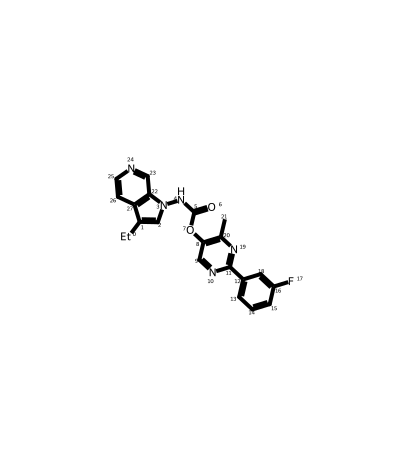 CCc1cn(NC(=O)Oc2cnc(-c3cccc(F)c3)nc2C)c2cnccc12